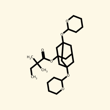 CCC(C)(C)C(=O)OC12CC3CC(OC4CCCCO4)(C1)CC(OC1CCCCO1)(C3)C2